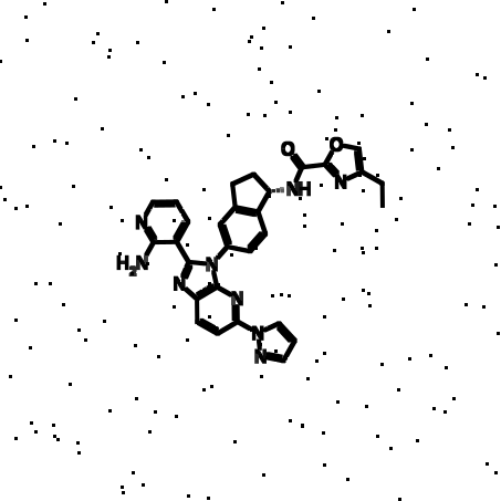 CCc1coc(C(=O)N[C@H]2CCc3cc(-n4c(-c5cccnc5N)nc5ccc(-n6cccn6)nc54)ccc32)n1